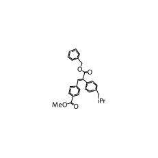 COC(=O)c1ccc(C=C(C(=O)OCc2ccccc2)c2ccc(CC(C)C)cc2)cc1